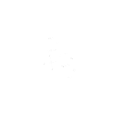 COC(=O)c1cnc(OC)nc1C(F)(F)F